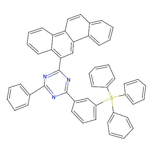 c1ccc(-c2nc(-c3cccc(S(c4ccccc4)(c4ccccc4)c4ccccc4)c3)nc(-c3cc4c5ccccc5ccc4c4ccccc34)n2)cc1